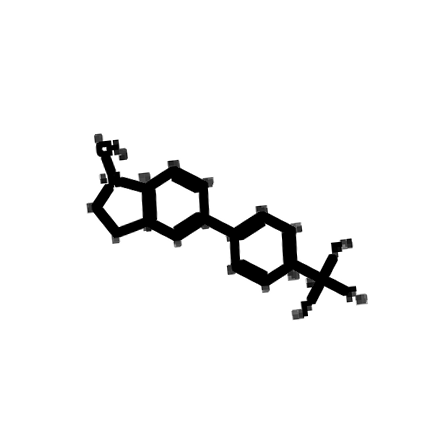 CN1CCc2cc(-c3ccc(C(F)(F)F)cc3)ccc21